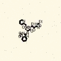 CCc1nc(C(=O)[C@H](CC)NC(=O)[C@H](CS(=O)(=O)Cc2ccccn2)NC2=NS(=O)(=O)c3ccccc32)no1